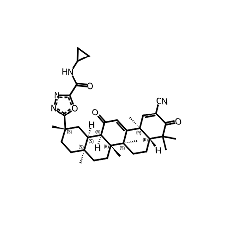 CC1(C)C(=O)C(C#N)=C[C@]2(C)C3=CC(=O)[C@@H]4[C@@H]5C[C@@](C)(c6nnc(C(=O)NC7CC7)o6)CC[C@]5(C)CC[C@@]4(C)[C@]3(C)CC[C@@H]12